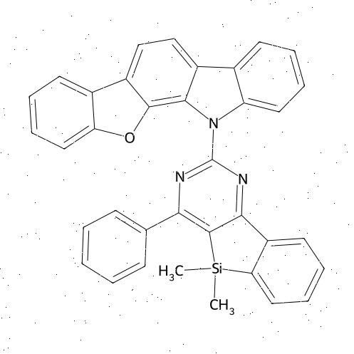 C[Si]1(C)c2ccccc2-c2nc(-n3c4ccccc4c4ccc5c6ccccc6oc5c43)nc(-c3ccccc3)c21